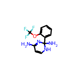 NC1=NC(N)(c2ccccc2OC(F)(F)F)NC=C1